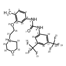 Cc1ccc(NC(=O)Nc2cc(C(F)(F)F)cc(C(F)(F)F)c2)cc1OCCN1CCOCC1